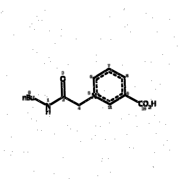 CCCCNC(=O)C[n+]1cccc(C(=O)O)c1